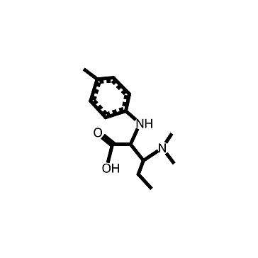 CCC(C(Nc1ccc(C)cc1)C(=O)O)N(C)C